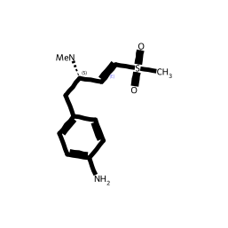 CN[C@H](/C=C/S(C)(=O)=O)Cc1ccc(N)cc1